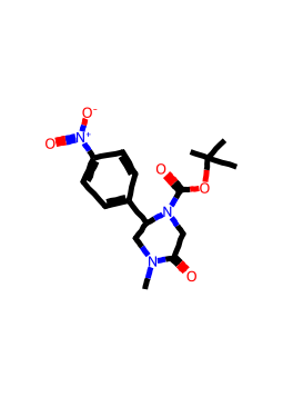 CN1CC(c2ccc([N+](=O)[O-])cc2)N(C(=O)OC(C)(C)C)CC1=O